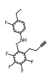 C#CCCc1c(F)c(F)c(F)c(F)c1SNc1ccc(CC)c(F)c1